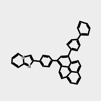 c1ccc(-c2ccc(-c3cc(-c4ccc(-c5cn6ccccc6n5)cc4)c4ccc5cccc6ccc3c4c65)cc2)cc1